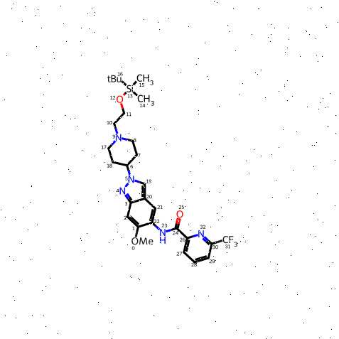 COc1cc2nn(C3CCN(CCO[Si](C)(C)C(C)(C)C)CC3)cc2cc1NC(=O)c1cccc(C(F)(F)F)n1